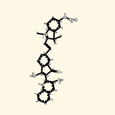 C[N+]1=C(/C=C/c2ccc3c(c2)C(=O)C(c2nc4ccccc4cc2O)=C3O)C(C)(C)c2cc(OC=O)ccc21